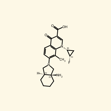 Cc1c(N2C[C@@H]3CCCC[C@@]3(N)C2)ccc2c(=O)c(C(=O)O)cn([C@@H]3C[C@@H]3F)c12